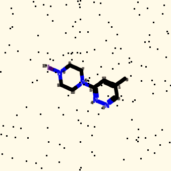 Cc1cnnc(N2CCN(I)CC2)c1